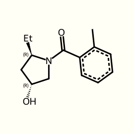 CC[C@@H]1C[C@@H](O)CN1C(=O)c1ccccc1C